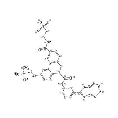 CC(C)(C)COc1ccc(C(Cc2ccc(C(=O)NCCS(=O)(=O)O)cc2)C(=O)Nc2cccc(-c3nc4ccccc4o3)c2)cc1